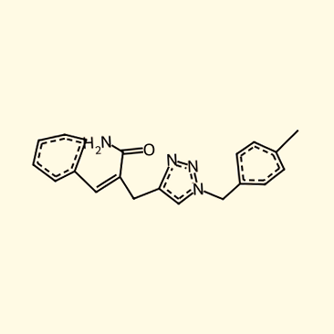 Cc1ccc(Cn2cc(CC(=Cc3ccccc3)C(N)=O)nn2)cc1